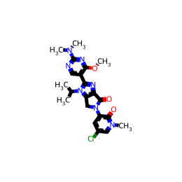 COc1nc(N(C)C)ncc1-c1nc2c(n1C(C)C)CN(c1cc(Cl)cn(C)c1=O)C2=O